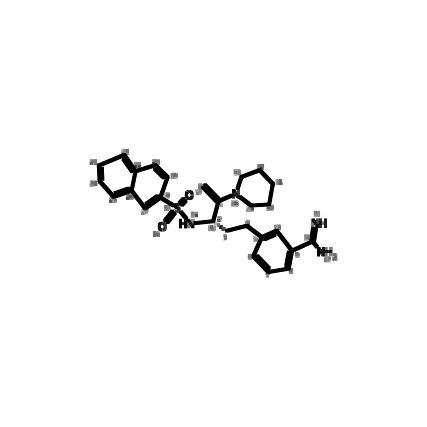 C=C([C@H](CCc1cccc(C(=N)N)c1)NS(=O)(=O)c1ccc2ccccc2c1)N1CCCCC1